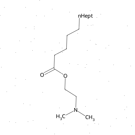 CCCCCCCCCCCC(=O)OCCN(C)C